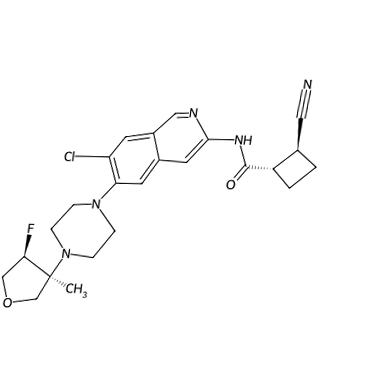 C[C@]1(N2CCN(c3cc4cc(NC(=O)[C@H]5CC[C@@H]5C#N)ncc4cc3Cl)CC2)COC[C@H]1F